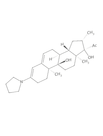 CC(=O)[C@@]1(O)[C@@H](C)C[C@H]2[C@@H]3CC=C4C=C(N5CCCC5)CC[C@]4(C)[C@@]3(O)CC[C@@]21C